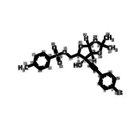 CCc1ccc(C#C[C@@]2(O)C(COS(=O)(=O)c3ccc(C)cc3)O[C@@H]3OC(C)(C)O[C@@H]32)cc1